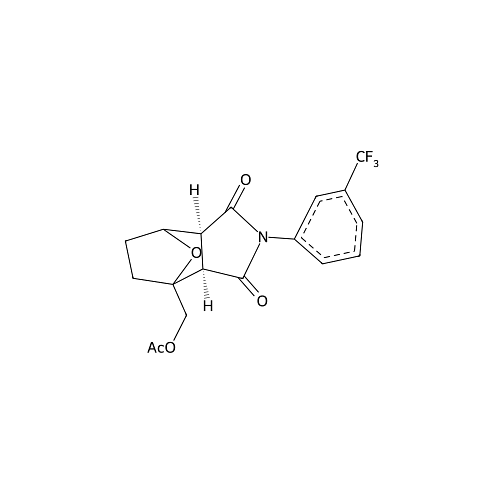 CC(=O)OCC12CCC(O1)[C@H]1C(=O)N(c3cccc(C(F)(F)F)c3)C(=O)[C@H]12